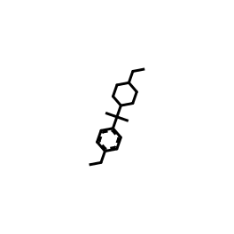 CCc1ccc(C(C)(C)C2CCC(CC)CC2)cc1